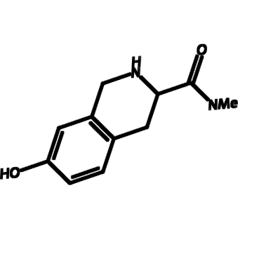 CNC(=O)C1Cc2ccc(O)cc2CN1